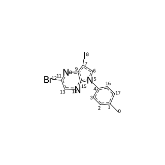 Cc1ccc(-n2cc(I)c3nc(Br)cnc32)cc1